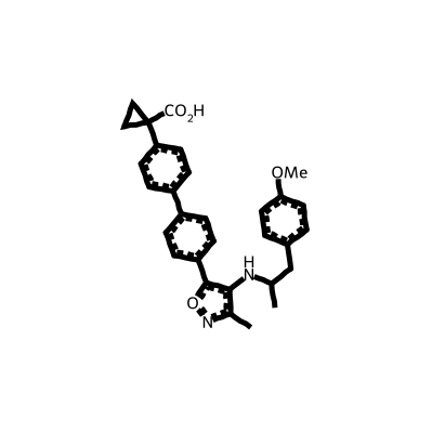 COc1ccc(CC(C)Nc2c(C)noc2-c2ccc(-c3ccc(C4(C(=O)O)CC4)cc3)cc2)cc1